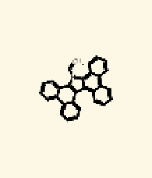 C=Cn1c2c3ccccc3c3ccccc3c2c2c3ccccc3c3ccccc3c21